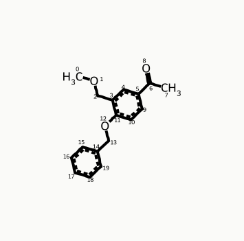 COCc1cc(C(C)=O)ccc1OCc1ccccc1